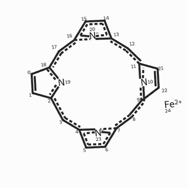 C1=Cc2cc3ccc(cc4nc(cc5ccc(cc1n2)[n-]5)C=C4)[n-]3.[Fe+2]